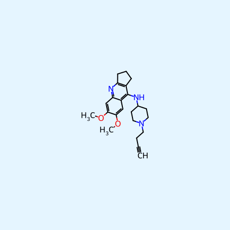 C#CCCN1CCC(Nc2c3c(nc4cc(OC)c(OC)cc24)CCC3)CC1